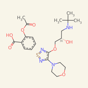 CC(=O)Oc1ccccc1C(=O)O.CC(C)(C)NC[C@H](O)COc1nsnc1N1CCOCC1